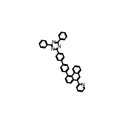 c1ccc(-c2nc(-c3ccccc3)nc(-c3ccc(-c4ccc(-c5cccc6c(-c7ccccn7)cc7ccccc7c56)cc4)cc3)n2)cc1